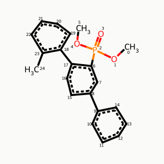 COP(=O)(OC)c1cc(-c2ccccc2)ccc1-c1ccccc1C